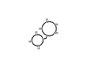 C1CNCCNCCN(CN2CCNCCNCCNCC2)CCNCCN1